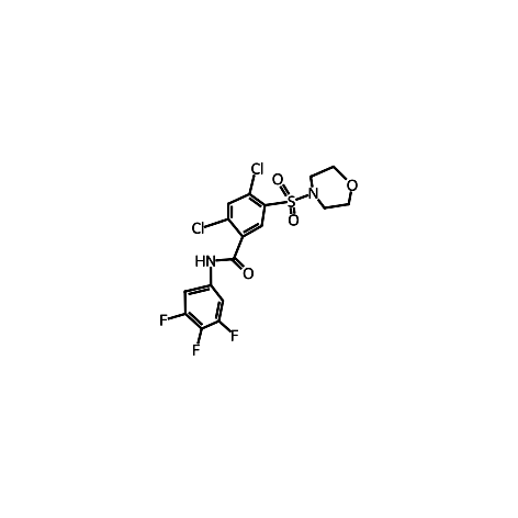 O=C(Nc1cc(F)c(F)c(F)c1)c1cc(S(=O)(=O)N2CCOCC2)c(Cl)cc1Cl